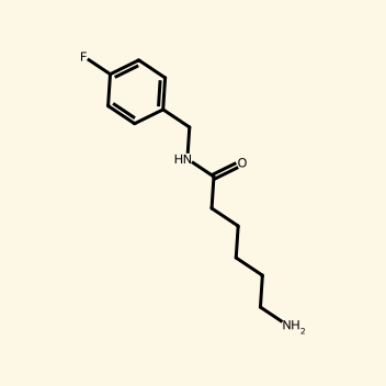 NCCCCCC(=O)NCc1ccc(F)cc1